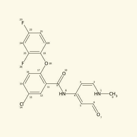 CN/C=C\C(=C/C=O)NC(=O)c1cc(Cl)ccc1Oc1ccc(F)cc1F